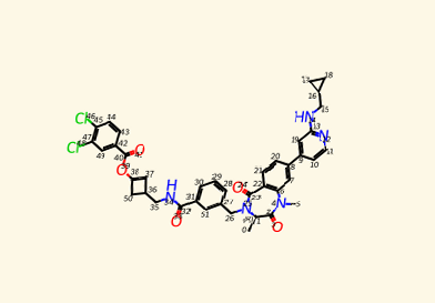 C[C@@H]1C(=O)N(C)c2cc(-c3ccnc(NCC4CC4)c3)ccc2C(=O)N1Cc1cccc(C(=O)NCC2CC(OC(=O)c3ccc(Cl)c(Cl)c3)C2)c1